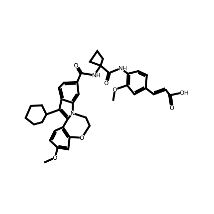 COc1ccc2c(c1)OCCn1c-2c(C2CCCCC2)c2ccc(C(=O)NC3(C(=O)Nc4ccc(C=CC(=O)O)cc4OC)CCC3)cc21